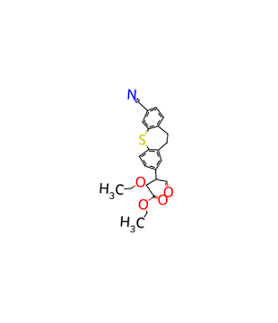 CCOC(=O)C(OCC)C(C=O)c1ccc2c(c1)CCc1ccc(C#N)cc1S2